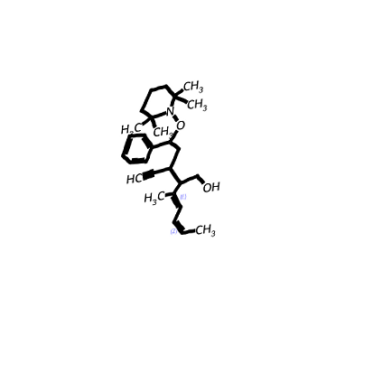 C#CC(CC(ON1C(C)(C)CCCC1(C)C)c1ccccc1)C(CO)/C(C)=C/C=C\C